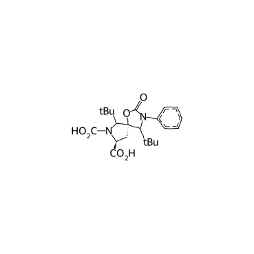 CC(C)(C)C1N(c2ccccc2)C(=O)O[C@@]12C[C@@H](C(=O)O)N(C(=O)O)C2C(C)(C)C